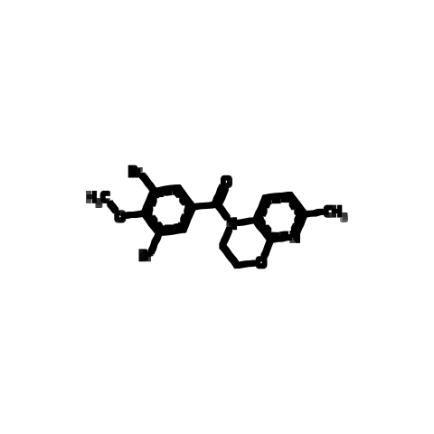 COc1c(Br)cc(C(=O)N2CCOc3nc(C)ccc32)cc1Br